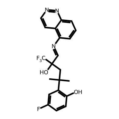 CC(C)(CC(O)(C=Nc1cccc2nnccc12)C(F)(F)F)c1cc(F)ccc1O